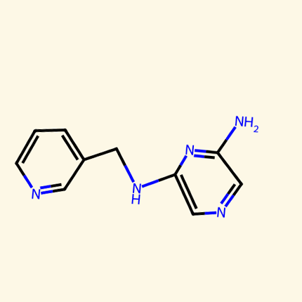 Nc1cncc(NCc2cccnc2)n1